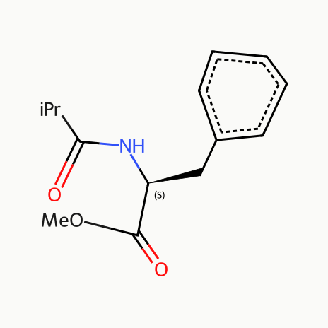 COC(=O)[C@H](Cc1ccccc1)NC(=O)C(C)C